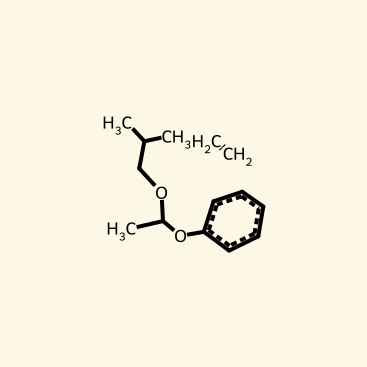 C=C.CC(C)COC(C)Oc1ccccc1